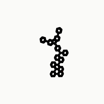 c1ccc(-c2ccc3c(c2)c2cc(-c4ccccc4)ccc2n3-c2ccc(N(c3ccccc3)c3cccc4c(-c5c6ccccc6c(-c6ccccc6-c6ccccc6)c6ccccc56)cccc34)cc2)cc1